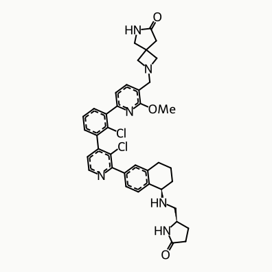 COc1nc(-c2cccc(-c3ccnc(-c4ccc5c(c4)CCC[C@H]5NC[C@H]4CCC(=O)N4)c3Cl)c2Cl)ccc1CN1CC2(CNC(=O)C2)C1